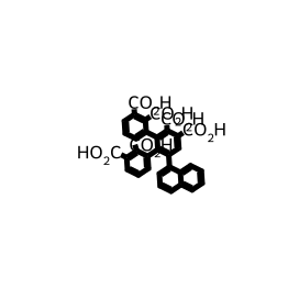 O=C(O)c1cccc(-c2c(-c3cccc4ccccc34)cc(C(=O)O)c(C(=O)O)c2-c2cccc(C(=O)O)c2C(=O)O)c1C(=O)O